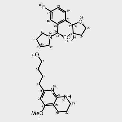 COc1cc(CCCCO[C@@H]2CCN([C@H](C(=O)O)c3cc(F)ccc3[C@@H]3CCCO3)C2)nc2c1CCCN2